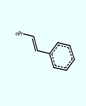 CC[CH]/C=C/c1ccccc1